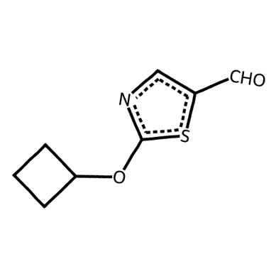 O=Cc1cnc(OC2CCC2)s1